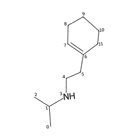 CC(C)NCCC1=CCCCC1